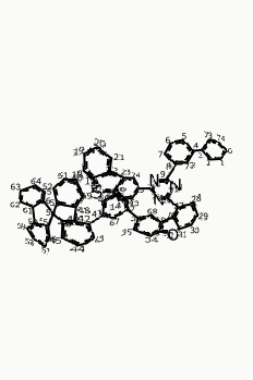 c1ccc(-c2cccc(-c3nc(-c4ccc5sc6ccccc6c5c4)nc(-c4cccc5oc6ccc(-c7cccc(-c8cccc9c8-c8ccccc8C98c9ccccc9-c9ccccc98)c7)cc6c45)n3)c2)cc1